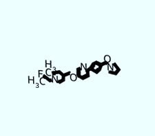 CC(C)(F)CN1CCC(COc2ccc(-c3ccc(C(=O)N4CCCC4)cc3)nc2)CC1